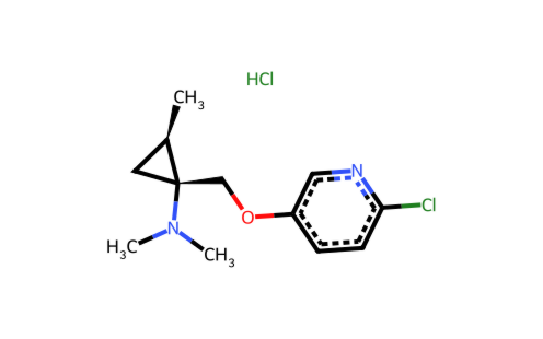 C[C@@H]1C[C@@]1(COc1ccc(Cl)nc1)N(C)C.Cl